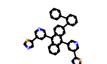 c1ccc(-c2ccccc2-c2ccc3c(-c4cncc(-c5cncs5)c4)c4ccccc4c(-c4cncc(-c5cncs5)c4)c3c2)cc1